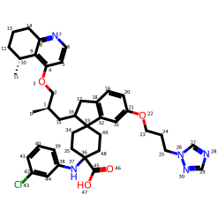 C[C@@H](COc1ccnc2c1[C@H](C)CCC2)CC1Cc2ccc(OCCCn3cncn3)cc2C12CCC(Nc1cccc(Cl)c1)(C(=O)O)CC2